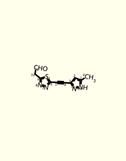 Cc1cc(C#Cc2nnc(CC=O)s2)n[nH]1